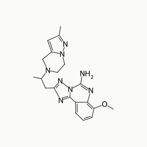 COc1cccc2c1nc(N)n1nc(CC(C)N3CCn4nc(C)cc4C3)nc21